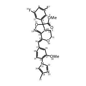 COC(=O)C1(c2cc(F)cc(F)c2)ON=C2C(=Cc3ccc(-n4cnc(C)c4)c(OC)c3)OCCN21